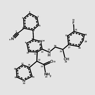 N#Cc1ccccc1-c1ccc(C(C(N)=O)c2cccnc2)c(NCC(O)c2cccc(F)c2)n1